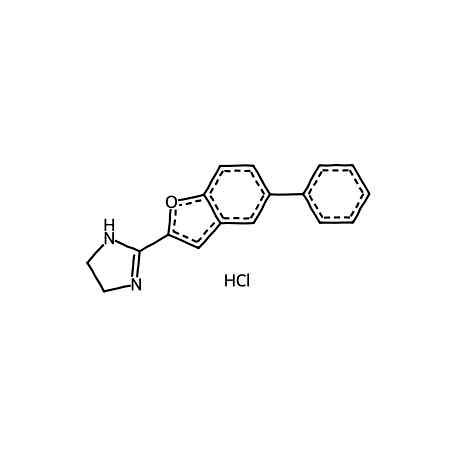 Cl.c1ccc(-c2ccc3oc(C4=NCCN4)cc3c2)cc1